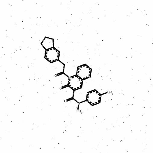 Cc1ccc(N(C)C(=O)c2cc3ccccc3n(C(=O)Cc3ccc4c(c3)CCC4)c2=O)cc1